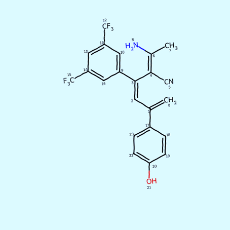 C=C(/C=C(\C(C#N)=C(\C)N)c1cc(C(F)(F)F)cc(C(F)(F)F)c1)c1ccc(O)cc1